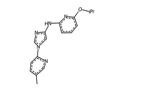 Cc1ccc(-n2cnc(Nc3cccc(OC(C)C)n3)c2)nc1